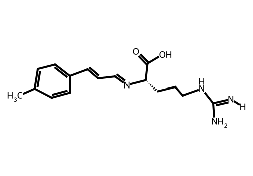 [H]/N=C(\N)NCCC[C@H](/N=C/C=C/c1ccc(C)cc1)C(=O)O